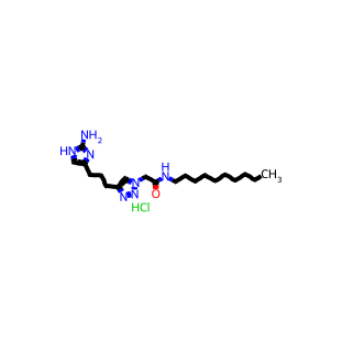 CCCCCCCCCCNC(=O)Cn1cc(CCCc2c[nH]c(N)n2)nn1.Cl